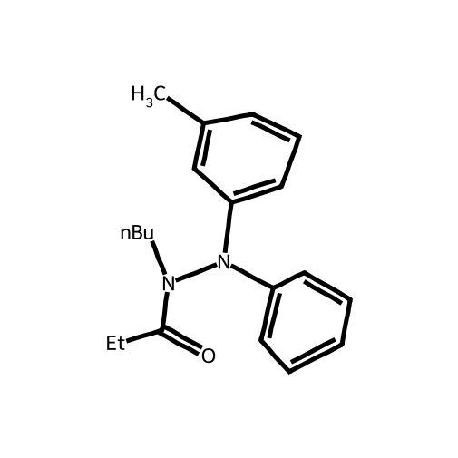 CCCCN(C(=O)CC)N(c1ccccc1)c1cccc(C)c1